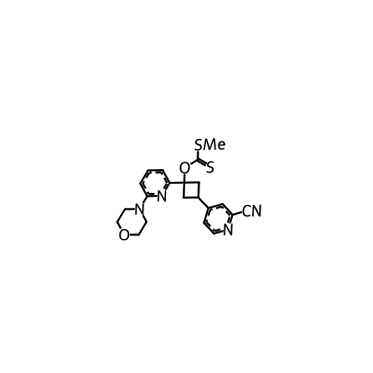 CSC(=S)OC1(c2cccc(N3CCOCC3)n2)CC(c2ccnc(C#N)c2)C1